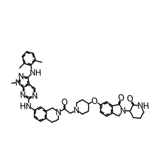 Cc1cccc(C)c1Nc1nn(C)c2nc(Nc3ccc4c(c3)CN(C(=O)CN3CCC(Oc5ccc6c(c5)C(=O)N(C5CCCNC5=O)C6)CC3)CC4)ncc12